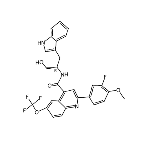 COc1ccc(-c2cc(C(=O)N[C@@H](CO)Cc3c[nH]c4ccccc34)c3cc(OC(F)(F)F)ccc3n2)cc1F